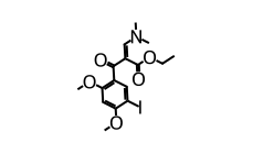 CCOC(=O)C(=CN(C)C)C(=O)c1cc(I)c(OC)cc1OC